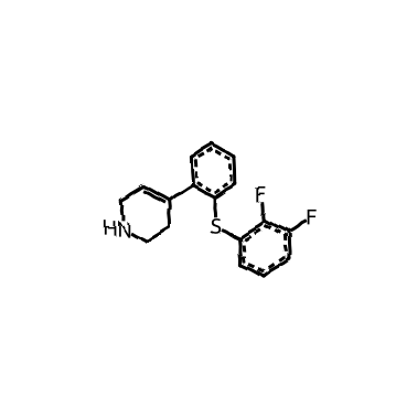 Fc1cccc(Sc2ccccc2C2=CCNCC2)c1F